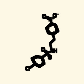 O=[N+]([O-])c1ccc(CCNS(=O)(=O)c2ccc(Cl)cc2)cc1